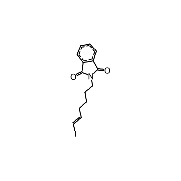 O=C1c2ccccc2C(=O)N1CCCCC=CI